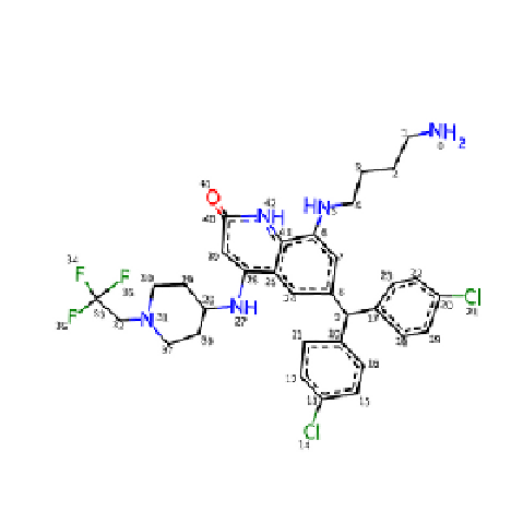 NCCCCNc1cc(C(c2ccc(Cl)cc2)c2ccc(Cl)cc2)cc2c(NC3CCN(CC(F)(F)F)CC3)cc(=O)[nH]c12